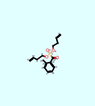 C=CCCOP(=O)(OCCC=C)C(=O)c1ccccc1C